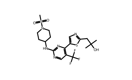 CC(C)(O)Cc1ncc(-c2nc(NC3CCN(S(C)(=O)=O)CC3)ncc2C(F)(F)F)s1